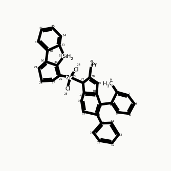 Cc1ccccc1-c1c(-c2ccccc2)ccc2c1C=C(C(C)C)[CH]2[Zr]([Cl])([Cl])[c]1cccc2c1[SiH2]c1ccccc1-2